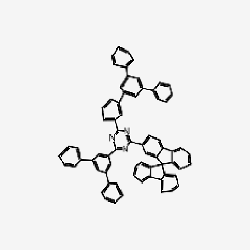 c1ccc(-c2cc(-c3ccccc3)cc(-c3cccc(-c4nc(-c5cc(-c6ccccc6)cc(-c6ccccc6)c5)nc(-c5ccc6c(c5)C5(c7ccccc7-c7ccccc75)c5ccccc5-6)n4)c3)c2)cc1